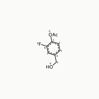 CC(=O)Oc1ccc(CO)cc1F